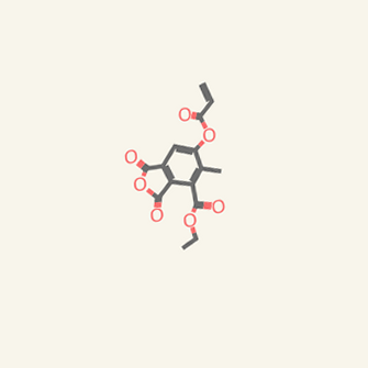 C=CC(=O)Oc1cc2c(c(C(=O)OCC)c1C)C(=O)OC2=O